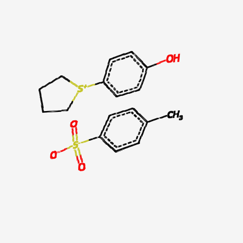 Cc1ccc(S(=O)(=O)[O-])cc1.Oc1ccc([S+]2CCCC2)cc1